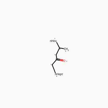 CCCCCCCCC(=O)CC(C)CCCCCC